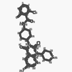 Cc1cccc(Cl)c1C(=O)NC1CCC(n2c(=O)c3cc(F)cnc3n(C3CCSCC3)c2=O)CC1